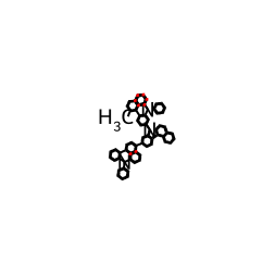 Cc1ccc2ccccc2c1-c1ccc(-n2c3cc(-c4ccc(-c5ccccc5N(c5ccccc5)c5ccccc5)cc4)ccc3c3c4ccccc4ccc32)cc1N(c1ccccc1)c1ccccc1